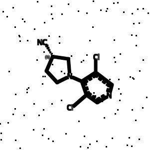 N#C[C@H]1CCN(c2c(Cl)cncc2Cl)C1